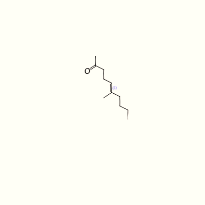 CCCC/C(C)=C/CCC(C)=O